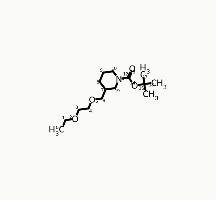 CCOCCOCC1CCCN(C(=O)OC(C)(C)C)C1